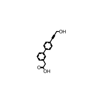 O=C(O)Cc1cccc(-c2ccc(C#CCO)cc2)c1